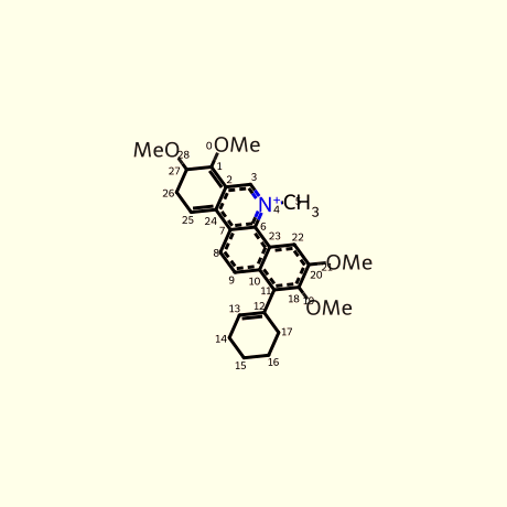 COC1=c2c[n+](C)c3c(ccc4c(C5=CCCCC5)c(OC)c(OC)cc43)c2=CCC1OC